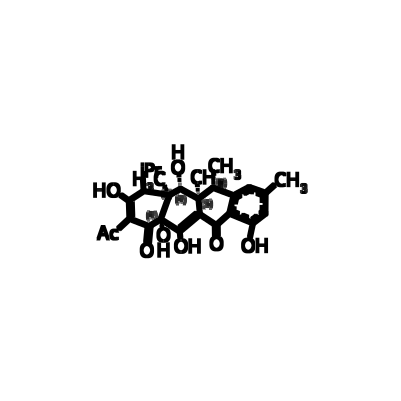 CC(=O)C1=C(O)C(C(C)C)[C@@]2(C)[C@H](O)[C@]3(C)C(=C(O)[C@@]2(O)C1=O)C(=O)c1c(O)cc(C)cc1[C@H]3C